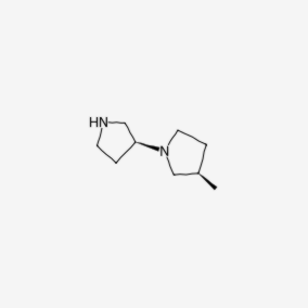 C[C@@H]1CCN([C@H]2CCNC2)C1